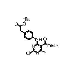 COC(=O)c1c(C)nc(Cl)nc1Nc1ccc(CC(=O)OC(C)(C)C)cc1